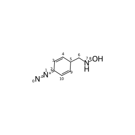 [N-]=[N+]=C1C=CC(CNO)C=C1